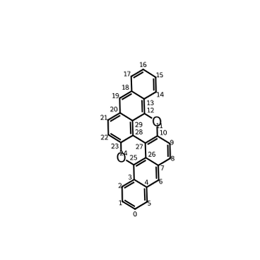 c1ccc2c(c1)cc1ccc3oc4c5ccccc5cc5ccc6oc2c1c3-c6c54